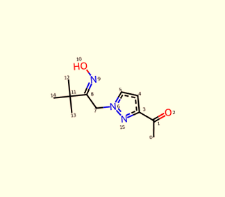 CC(=O)c1ccn(CC(=NO)C(C)(C)C)n1